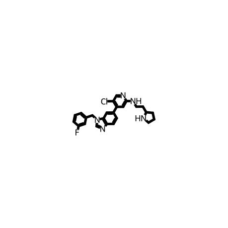 Fc1cccc(Cn2cnc3ccc(-c4cc(NCCC5CCCN5)ncc4Cl)cc32)c1